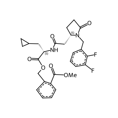 COC(=O)c1ccccc1COC(=O)[C@H](CC1CC1)NC(=O)C[C@@H]1CCC(=O)N1Cc1cccc(F)c1F